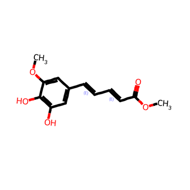 COC(=O)/C=C/C=C/c1cc(O)c(O)c(OC)c1